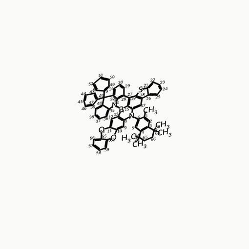 Cc1cc2c(cc1N1c3cc4c(cc3B3c5c1cc1c(sc6ccccc61)c5-c1cccc5c1N3c1ccccc1C5(c1ccccc1)c1ccccc1)Oc1ccccc1O4)C(C)(C)CCC2(C)C